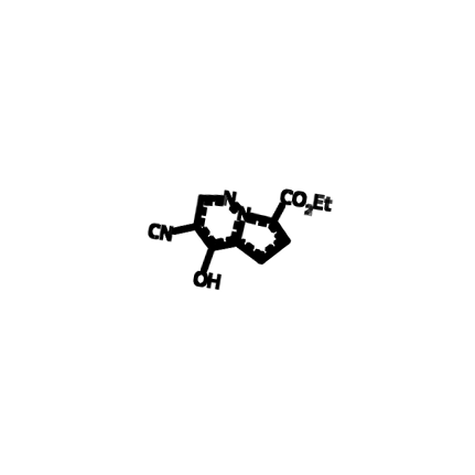 [C-]#[N+]c1cnn2c(C(=O)OCC)ccc2c1O